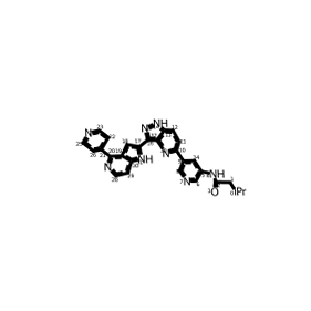 CC(C)CC(=O)Nc1cncc(-c2ccc3[nH]nc(-c4cc5c(-c6ccncc6)nccc5[nH]4)c3n2)c1